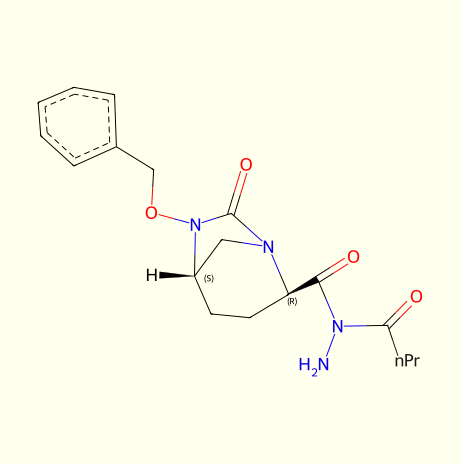 CCCC(=O)N(N)C(=O)[C@H]1CC[C@H]2CN1C(=O)N2OCc1ccccc1